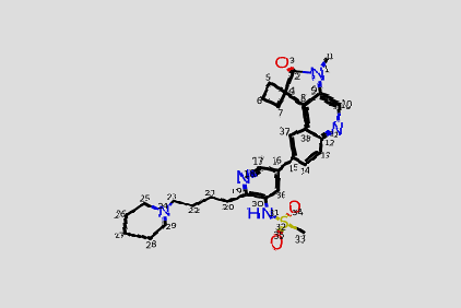 CN1C(=O)C2(CCC2)c2c1cnc1ccc(-c3cnc(CCCCN4CCCCC4)c(NS(C)(=O)=O)c3)cc21